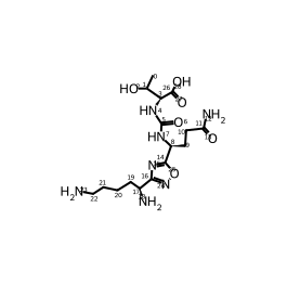 CC(O)[C@H](NC(=O)N[C@@H](CCC(N)=O)c1nc([C@@H](N)CCCCN)no1)C(=O)O